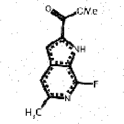 COC(=O)c1cc2cc(C)nc(F)c2[nH]1